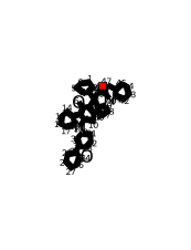 c1ccc2c(c1)Oc1c(ccc3c1c1ccccc1n3-c1ccc3oc4ccccc4c3c1)C21c2ccccc2-n2c3ccccc3c3cccc1c32